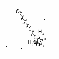 CC1=C(CCCCCCCCCCCCCCO)C(C)(C)CC1=O